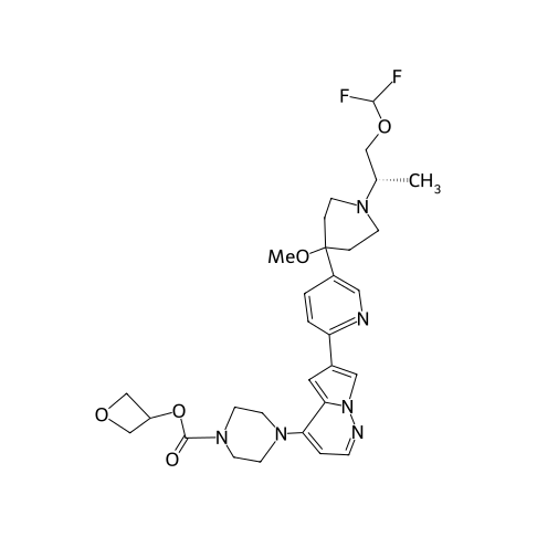 COC1(c2ccc(-c3cc4c(N5CCN(C(=O)OC6COC6)CC5)ccnn4c3)nc2)CCN([C@@H](C)COC(F)F)CC1